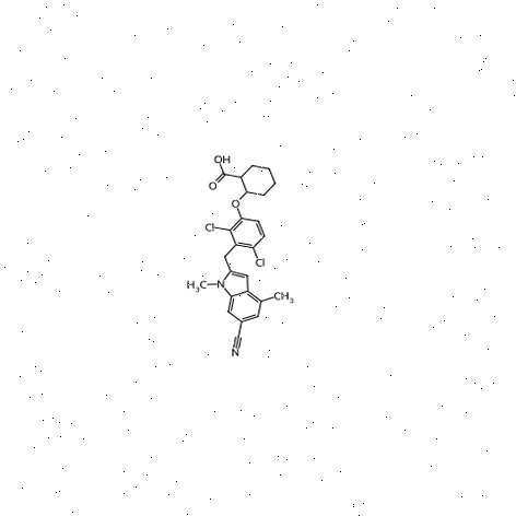 Cc1cc(C#N)cc2c1cc(Cc1c(Cl)ccc(OC3CCCCC3C(=O)O)c1Cl)n2C